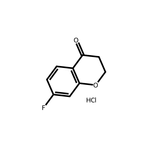 Cl.O=C1CCOc2cc(F)ccc21